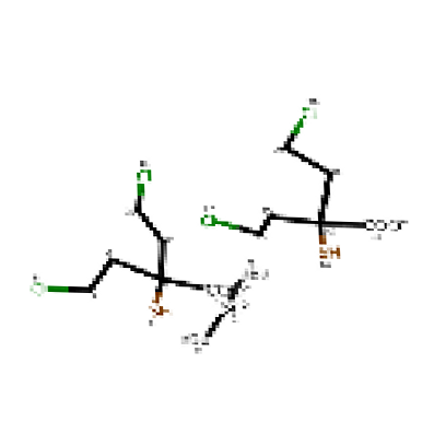 CCC[CH2][Sn+2][CH2]CCC.O=C([O-])C(S)(CCCl)CCCl.O=C([O-])C(S)(CCCl)CCCl